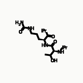 CC(C)N[C@H](C(=O)N[C@@H](CCCNC(N)=O)C(=O)C(C)C)C(C)O